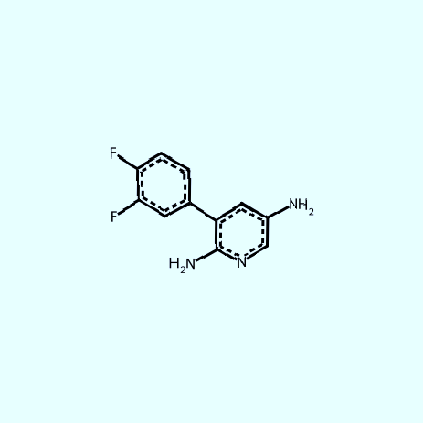 Nc1cnc(N)c(-c2ccc(F)c(F)c2)c1